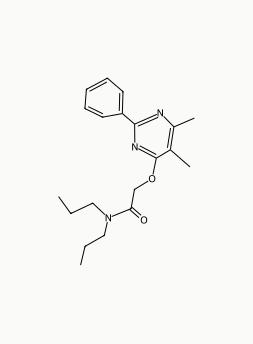 CCCN(CCC)C(=O)COc1nc(-c2ccccc2)nc(C)c1C